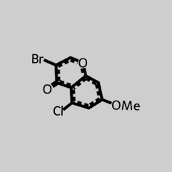 COc1cc(Cl)c2c(=O)c(Br)coc2c1